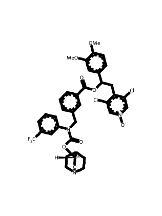 COc1ccc(C(Cc2c(Cl)c[n+]([O-])cc2Cl)OC(=O)c2cccc(CN(C(=O)O[C@H]3CN4CCC3CC4)c3cccc(C(F)(F)F)c3)c2)cc1OC